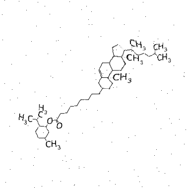 CC(C)CCC[C@@H](C)[C@H]1CCC2C3CC=C4CC(CCCCCCCCC(=O)OC5CC(C)CCC5C(C)C)CC[C@]4(C)C3CC[C@@]21C